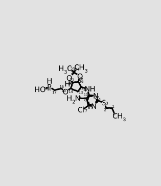 CCCSc1nc(Cl)c(N)c(NC2CC(OCCPO)[C@H]3OC(C)(C)OC23)n1